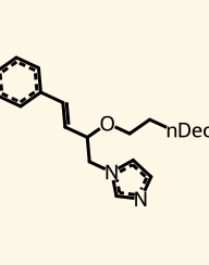 CCCCCCCCCCCCOC(C=Cc1ccccc1)Cn1ccnc1